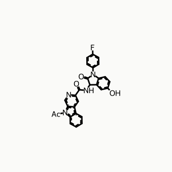 CC(=O)n1c2ccccc2c2cc(C(=O)NC3C(=O)N(c4ccc(F)cc4)c4ccc(O)cc43)ncc21